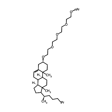 CCCOCCOCCOCCOCCO[C@H]1CCC2(C)C(=CCC3[C@@H]2CCC2(C)C([C@H](C)CCCC(C)C)CC[C@@H]32)C1